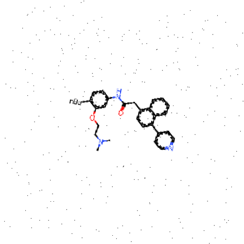 CCCCc1ccc(NC(=O)Cc2ccc(-c3ccncc3)c3ccccc23)cc1OCCN(C)C